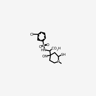 CN1CCC(N=O)(C(NS(=O)(=O)c2cccc(Cl)c2)C(=O)O)CC1S